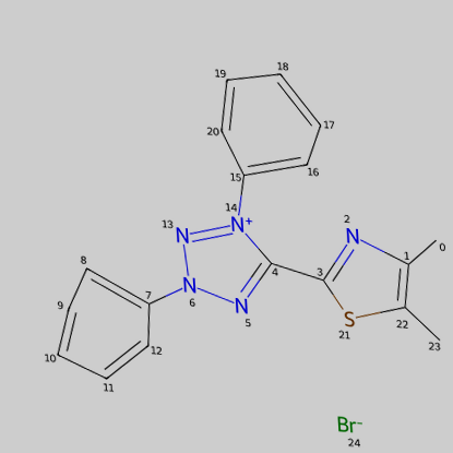 Cc1nc(-c2nn(-c3ccccc3)n[n+]2-c2ccccc2)sc1C.[Br-]